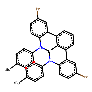 CC(C)(C)c1ccc(N2B3c4c(cccc4-c4cc(Br)ccc4N3c3ccc(C(C)(C)C)cc3)-c3cc(Br)ccc32)cc1